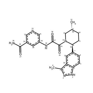 Cc1n[nH]c2ccc([C@@H]3CC[C@@H](C)CN3C(=O)C(=O)Nc3cncc(C(N)=O)c3)cc12